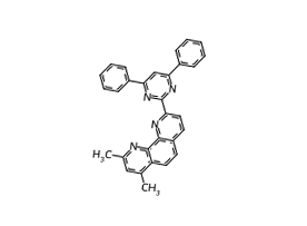 Cc1cc(C)c2ccc3ccc(-c4nc(-c5ccccc5)cc(-c5ccccc5)n4)nc3c2n1